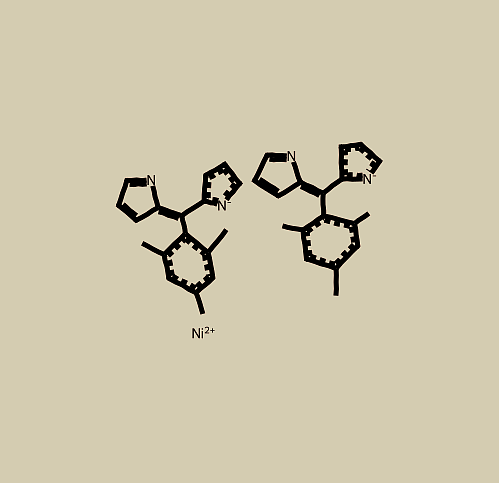 Cc1cc(C)c(/C(=C2\C=CC=N2)c2ccc[n-]2)c(C)c1.Cc1cc(C)c(/C(=C2\C=CC=N2)c2ccc[n-]2)c(C)c1.[Ni+2]